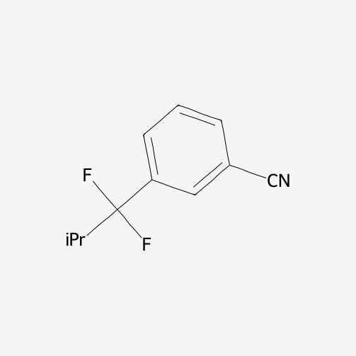 CC(C)C(F)(F)c1cccc(C#N)c1